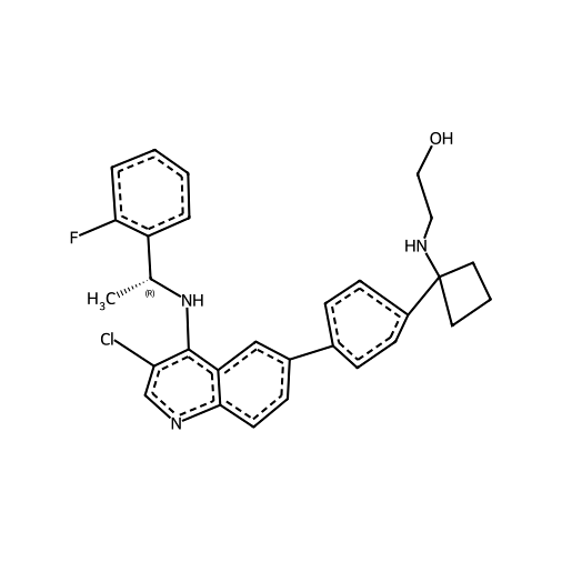 C[C@@H](Nc1c(Cl)cnc2ccc(-c3ccc(C4(NCCO)CCC4)cc3)cc12)c1ccccc1F